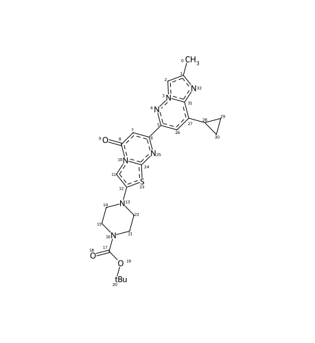 Cc1cn2nc(-c3cc(=O)n4cc(N5CCN(C(=O)OC(C)(C)C)CC5)sc4n3)cc(C3CC3)c2n1